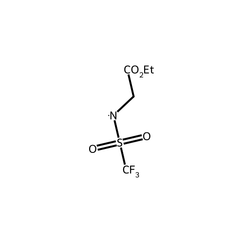 CCOC(=O)C[N]S(=O)(=O)C(F)(F)F